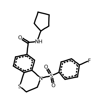 O=C(NC1CCCC1)c1ccc2c(c1)N(S(=O)(=O)c1ccc(F)cc1)CCS2